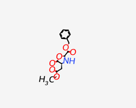 COC(=O)C[C@@H]1NC(C(=O)OCc2ccccc2)OC1=O